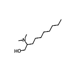 CCCCCCCCC(CO)N(C)C